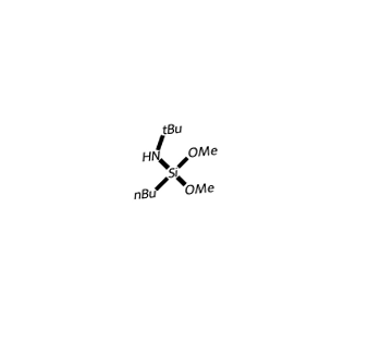 CCCC[Si](NC(C)(C)C)(OC)OC